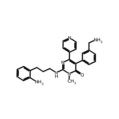 Cn1c(NCCCc2ccccc2N)nc(-c2ccncc2)c(-c2cccc(CN)c2)c1=O